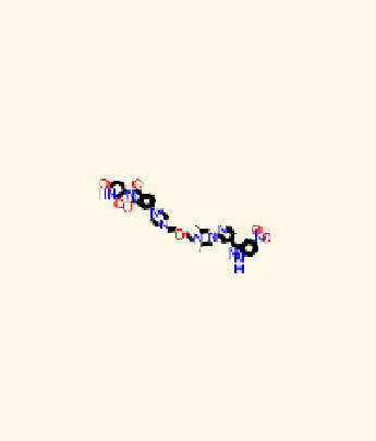 C[C@@H]1CN(c2cc(-c3n[nH]c4ccc([N+](=O)[O-])cc34)ccn2)C[C@H](C)N1CCOCCN1CCN(c2ccc3c(c2)C(=O)N(C2CCC(=O)NC2=O)C3=O)CC1